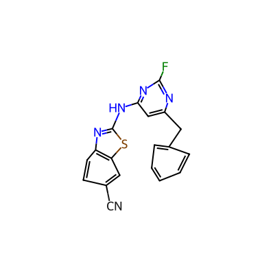 N#Cc1ccc2nc(Nc3cc(Cc4ccccc4)nc(F)n3)sc2c1